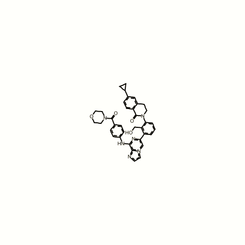 O=C(c1ccc(Nc2nc(-c3cccc(N4CCc5cc(C6CC6)ccc5C4=O)c3CO)cn3ccnc23)cc1)N1CCOCC1